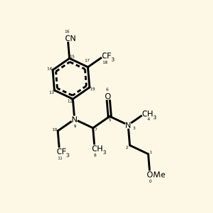 COCCN(C)C(=O)C(C)N(CC(F)(F)F)c1ccc(C#N)c(C(F)(F)F)c1